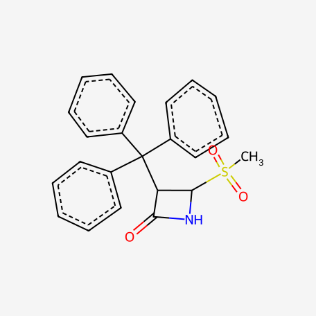 CS(=O)(=O)C1NC(=O)C1C(c1ccccc1)(c1ccccc1)c1ccccc1